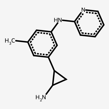 Cc1cc(Nc2ccccn2)cc(C2CC2N)c1